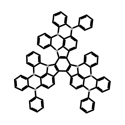 c1ccc(N2c3ccccc3B3c4ccccc4-n4c5c3c2ccc5c2c3c5ccc6c7c5n(c3c3c(c5ccc8c9c5n3-c3ccccc3B9c3ccccc3N8c3ccccc3)c24)-c2ccccc2B7c2ccccc2N6c2ccccc2)cc1